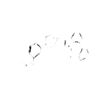 CC(C)C(=O)Nc1cccc(C2CCN(Cc3c[nH]c4c(-c5ccccc5F)cccc34)CC2)c1